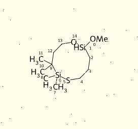 CO[SiH]1CCCS[Si](C)(C)C(C)(C)CCO1